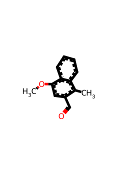 COc1cc(C=O)c(C)c2ccccc12